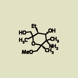 CC[C@H]1[C@@H](O)C(C)(N)[C@](C)(COC)OC1(C)CO